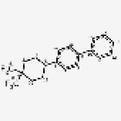 FC(F)(F)C1(C(F)(F)F)CCC(c2ccc(-c3ccccc3)cc2)CC1